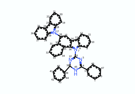 c1ccc(C2=NC(n3c4ccccc4c4cc(-n5c6ccccc6c6ccccc65)c5ccccc5c43)=NC(c3ccccc3)N2)cc1